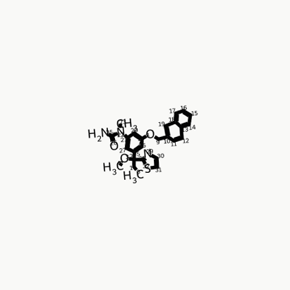 CCC(OC)(c1cc(OCc2ccc3ccccc3c2)cc(N(C)C(N)=O)c1)c1nccs1